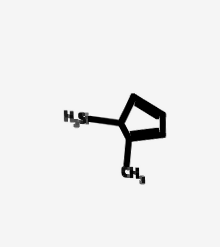 CC1=CC=CC1[SiH3]